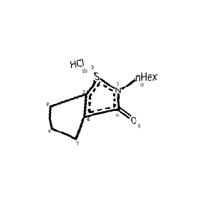 CCCCCCn1sc2c(c1=O)CCC2.Cl